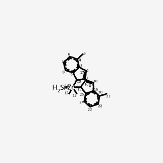 CC1=Cc2c(C)cccc2[CH]1[Zr]([CH3])([CH3])(=[SiH2])[CH]1C(C)=Cc2c(C)cccc21